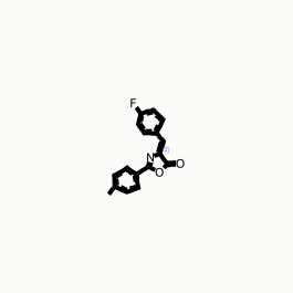 Cc1ccc(C2=N/C(=C\c3ccc(F)cc3)C(=O)O2)cc1